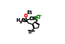 CCO[Si](C)(C)CC1=[C]([Ti+2])CC=C1.[Cl-].[Cl-]